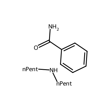 CCCCCNCCCCC.NC(=O)c1ccccc1